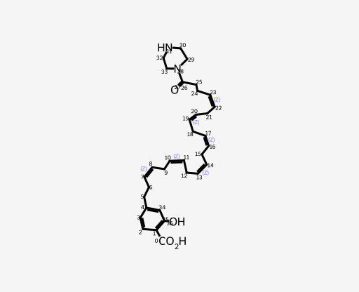 O=C(O)c1ccc(CC/C=C\C/C=C\C/C=C\C/C=C\C/C=C\C/C=C\CCC(=O)N2CCNCC2)cc1O